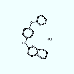 Cl.c1ccc(Oc2ccc(Nc3ccc4ccccc4n3)cc2)cc1